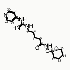 N=C(NCCCCC(=O)NOC1CCCCO1)Nc1ccncc1